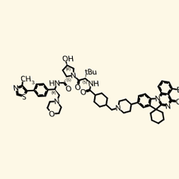 Cc1ncsc1-c1ccc([C@H](CN2CCOCC2)NC(=O)[C@@H]2C[C@@H](O)CN2C(=O)[C@@H](NC(=O)C2CCC(CN3CCC(c4ccc5c(c4)C4(CCCCC4)c4nc(=O)c6c(Br)cccc6n4-5)CC3)CC2)C(C)(C)C)cc1